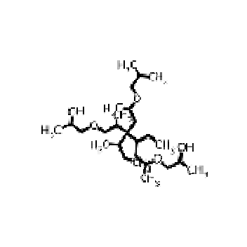 CCC(C)C(CC(C)OCC(C)C)(C(C)COCC(C)O)C(CC)CC(C)OCC(C)O